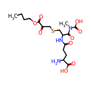 CCCCOC(=O)C(=O)CSCC(NC(=O)CCC(N)C(=O)O)C(=O)N(C)C(=O)O